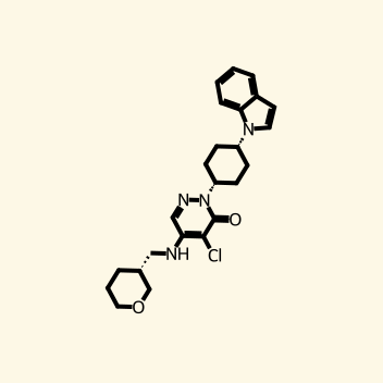 O=c1c(Cl)c(NC[C@H]2CCCOC2)cnn1[C@H]1CC[C@@H](n2ccc3ccccc32)CC1